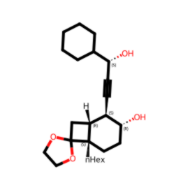 CCCCCC[C@]12CC[C@@H](O)[C@H](C#C[C@@H](O)C3CCCCC3)[C@H]1CC21OCCO1